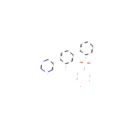 O=S1(=O)CCC(S(=O)(=O)c2ccccc2-c2ccc(-c3cncnc3)c(F)c2)CC1